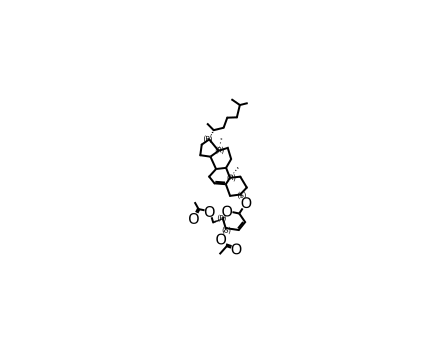 CC(=O)OC[C@H]1OC(O[C@H]2CC[C@@]3(C)C(=CCC4C3CC[C@@]3(C)C4CC[C@@H]3C(C)CCCC(C)C)C2)C=C[C@@H]1OC(C)=O